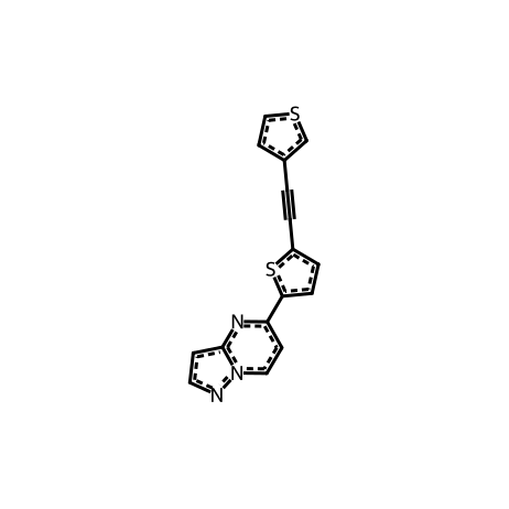 C(#Cc1ccc(-c2ccn3nccc3n2)s1)c1ccsc1